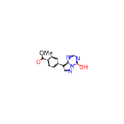 COC(=O)c1ccc(-c2cnn3c(O)ncnc23)cc1